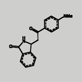 CNc1ccc(C(=O)CC2NC(=O)c3ccccc32)cc1